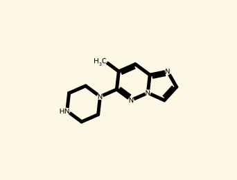 Cc1cc2nccn2nc1N1CCNCC1